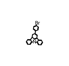 Brc1ccc(C2=Cc3c4n(c5ccccc35)-c3ccccc3C4C2)cc1